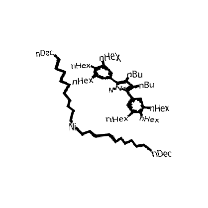 CCCCCCCCCCCCCCCCCCC[CH2][Ni][CH2]CCCCCCCCCCCCCCCCCCC.CCCCCCc1cc(C2=C(CCCC)C(CCCC)=C(c3cc(CCCCCC)c(CCCCCC)c(CCCCCC)c3)[N+]2=[N-])cc(CCCCCC)c1CCCCCC